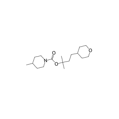 CC1CCN(C(=O)OC(C)(C)CCC2CCOCC2)CC1